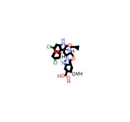 COc1cc2c3n(nc2cc1C(O)O)[C@@H]1[C@H](CO3)N(CC2CC2)[C@@]2(C(=O)Nc3cc(Cl)ccc32)[C@H]1c1cccc(Cl)c1F